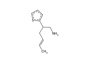 C/C=C/CC(CN)c1cccs1